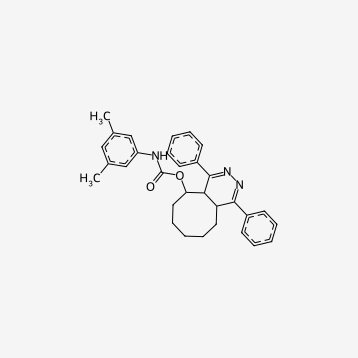 Cc1cc(C)cc(NC(=O)OC2CCCCCC3C(c4ccccc4)=NN=C(c4ccccc4)C23)c1